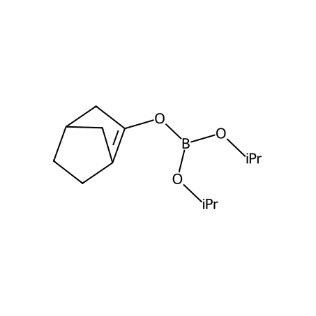 CC(C)OB(OC1=C2CCC(C2)C1)OC(C)C